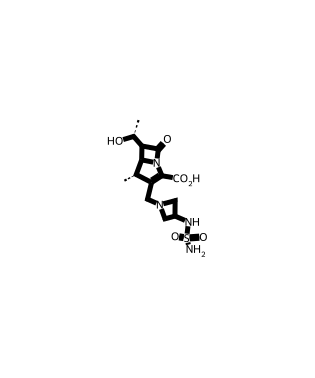 C[C@@H](O)C1C(=O)N2C(C(=O)O)=C(CN3CC(NS(N)(=O)=O)C3)[C@H](C)C12